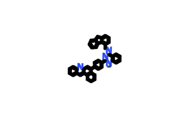 C=N/C(=N\C(=N/Cc1cccc2c1-c1ccccc1C2)c1ccccc1)c1ccc(-c2cc3nc4ccccc4cc3c3c2C=CCC3)cc1